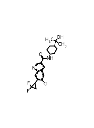 CC(C)(O)[C@H]1CC[C@H](NC(=O)c2cnc3cc(C4CC4(F)F)c(Cl)cc3c2)CC1